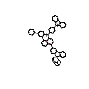 c1ccc(-c2ccc(N(c3ccc(-c4ccc5c(c4)-c4ccccc4C54C5CC6CC(C5)CC4C6)cc3)c3ccc(-n4c5ccccc5c5ccccc54)cc3)c(-c3ccccc3)c2)cc1